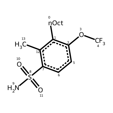 CCCCCCCCc1c(OC(F)(F)F)ccc(S(N)(=O)=O)c1C